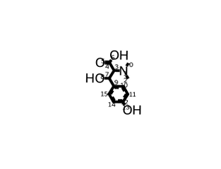 CN(C)C(C(=O)O)C(O)c1ccc(O)cc1